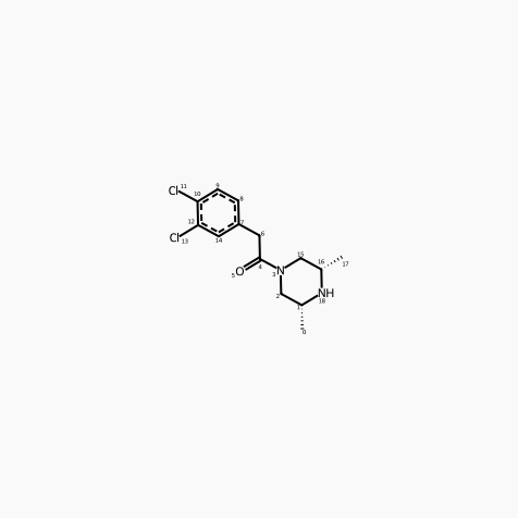 C[C@@H]1CN(C(=O)Cc2ccc(Cl)c(Cl)c2)C[C@H](C)N1